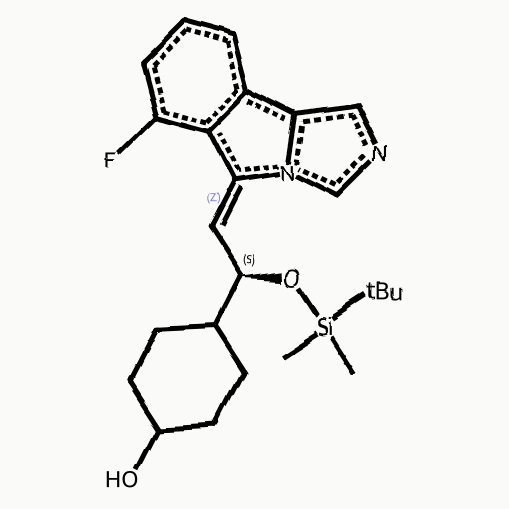 CC(C)(C)[Si](C)(C)O[C@H](/C=c1/c2c(F)cccc2c2cncn12)C1CCC(O)CC1